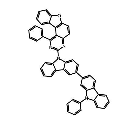 c1ccc(-c2nc(-n3c4ccccc4c4cc(-c5ccc6c7ccccc7n(-c7ccccc7)c6c5)ccc43)nc3ccc4oc5ccccc5c4c23)cc1